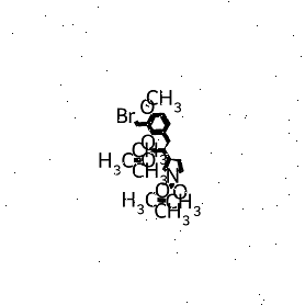 COc1ccc(C[C@H](C(=O)OC(C)(C)C)[C@H]2CCN(C(=O)OC(C)(C)C)C2)cc1CBr